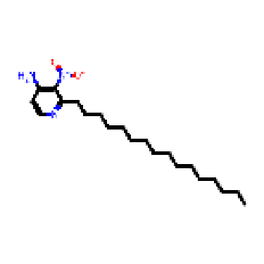 CCCCCCCCCCCCCCCCc1nccc(N)c1[N+](=O)[O-]